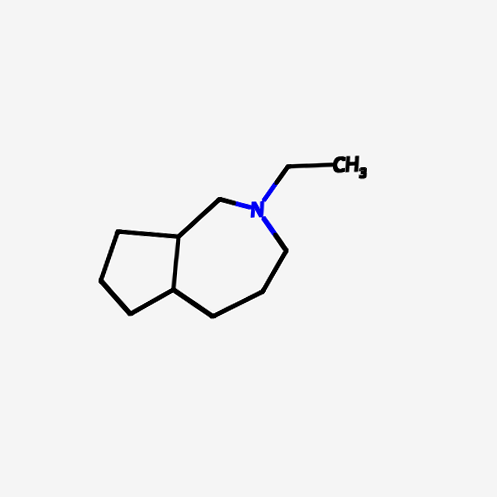 CCN1CCCC2CCCC2C1